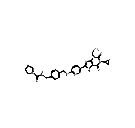 CCn1c(=O)n(C2CC2)c(=O)c2[nH]c(-c3ccc(NCc4ccc(CNC(=O)N5CCCC5)cc4)nc3)nc21